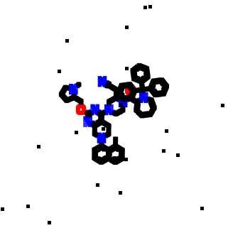 Cc1cccc2cccc(N3CCc4c(nc(OCC5CCCN5C)nc4N4CCN(C(=O)C5=CC=CC=CN5C(c5ccccc5)(c5ccccc5)c5ccccc5)C(CC#N)C4)C3)c12